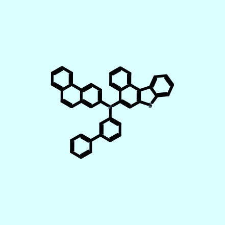 c1ccc(-c2cccc(N(c3ccc4c(ccc5ccccc54)c3)c3cc4sc5ccccc5c4c4ccccc34)c2)cc1